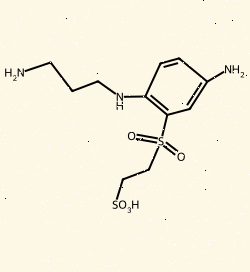 NCCCNc1ccc(N)cc1S(=O)(=O)CCS(=O)(=O)O